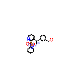 N/C=C(/c1cccc(C=O)c1)c1cccnc1S(=O)(=O)c1ccccc1